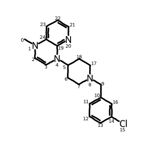 CN1C=CN(C2CCN(Cc3cccc(Cl)c3)CC2)c2ncccc21